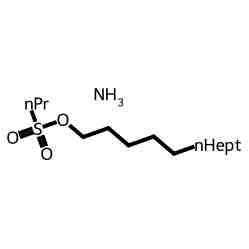 CCCCCCCCCCCCOS(=O)(=O)CCC.N